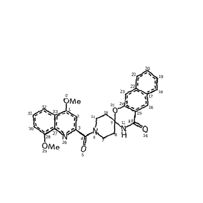 COc1cc(C(=O)N2CCC3(CC2)NC(=O)c2cc4ccccc4cc2O3)nc2c(OC)cccc12